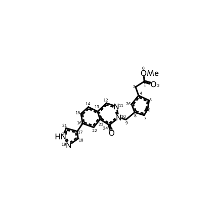 COC(=O)Cc1cccc(Cn2ncc3ccc(-c4cn[nH]c4)cc3c2=O)c1